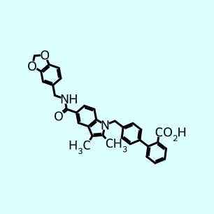 Cc1c(C)n(Cc2ccc(-c3ccccc3C(=O)O)cc2)c2ccc(C(=O)NCc3ccc4c(c3)OCO4)cc12